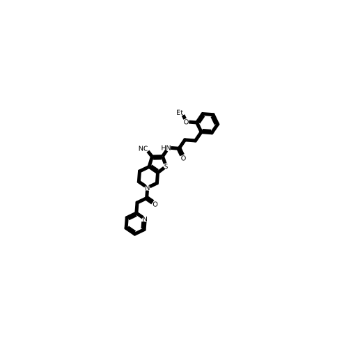 CCOc1ccccc1CCC(=O)Nc1sc2c(c1C#N)CCN(C(=O)Cc1ccccn1)C2